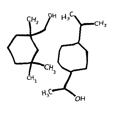 CC(C)C1CCC(C(C)O)CC1.CC1(C)CCCC(C)(CO)C1